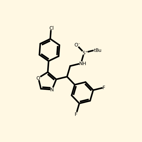 CC(C)(C)[S+]([O-])NCC(c1cc(F)cc(F)c1)c1ncoc1-c1ccc(Cl)cc1